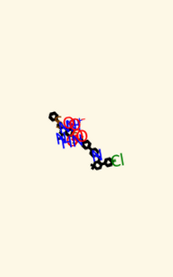 CN(C)CC[C@H](CSc1ccccc1)Nc1ccc(S(=O)(=O)NC(=O)c2ccc(C3=CCN(CC4=C(c5ccc(Cl)cc5)CCC(C)(C)C4)CC3)cc2)cc1[N+](=O)[O-]